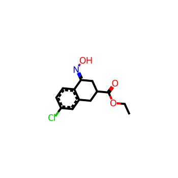 CCOC(=O)C1C/C(=N\O)c2ccc(Cl)cc2C1